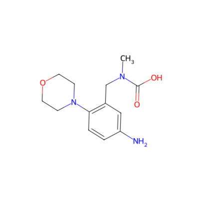 CN(Cc1cc(N)ccc1N1CCOCC1)C(=O)O